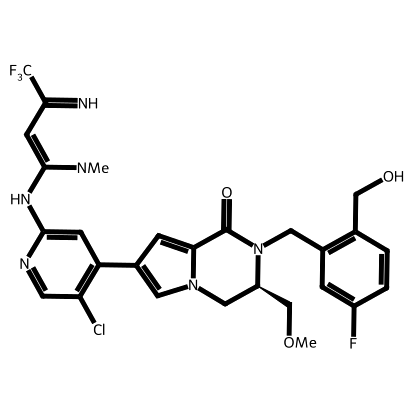 CN/C(=C\C(=N)C(F)(F)F)Nc1cc(-c2cc3n(c2)C[C@H](COC)N(Cc2cc(F)ccc2CO)C3=O)c(Cl)cn1